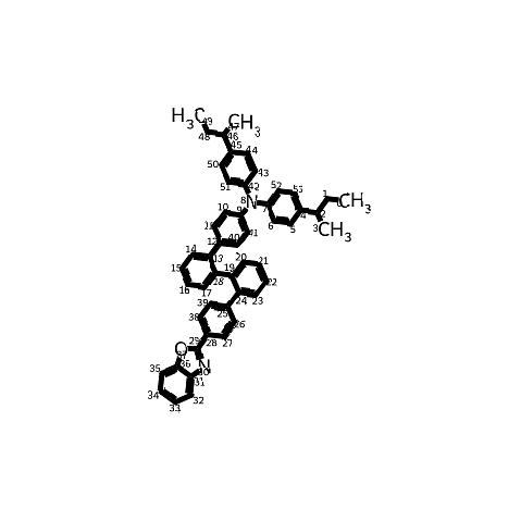 CCC(C)c1ccc(N(c2ccc(-c3ccccc3-c3ccccc3-c3ccc(-c4nc5ccccc5o4)cc3)cc2)c2ccc(C(C)CC)cc2)cc1